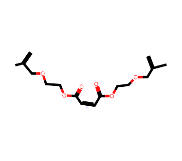 C=C(C)COCCOC(=O)/C=C\C(=O)OCCOCC(=C)C